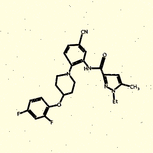 CCn1nc(C(=O)Nc2cc(C#N)ccc2N2CCC(Oc3ccc(F)cc3F)CC2)cc1C